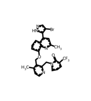 Cc1cc(-c2[nH]ncc2Br)c2cccc(OCc3c(C)ccnc3Cn3cccc(C(F)(F)F)c3=O)c2n1